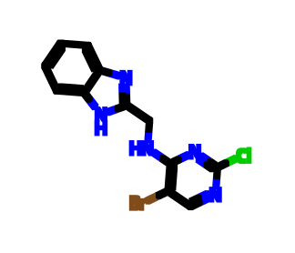 Clc1ncc(Br)c(NCc2nc3ccccc3[nH]2)n1